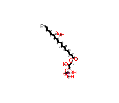 CCC=CC=CC(CC=CCCCCCCCC(=O)OCC(O)COP(=O)(O)O)OO